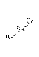 C=CCOC(=O)C(=O)C=Cc1ccccc1